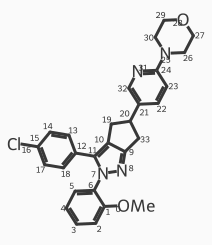 COc1ccccc1-n1nc2c(c1-c1ccc(Cl)cc1)CC(c1ccc(N3CCOCC3)nc1)C2